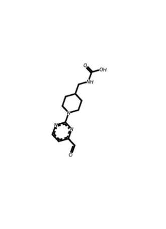 O=Cc1ccnc(N2CCC(CNC(=O)O)CC2)n1